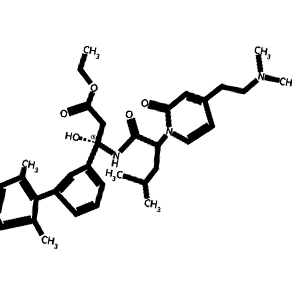 CCOC(=O)C[C@@](O)(NC(=O)C(CC(C)C)n1ccc(CCN(C)C)cc1=O)c1cccc(-c2c(C)cccc2C)c1